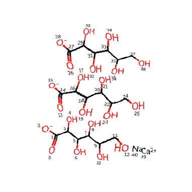 O=C([O-])C(O)C(O)C(O)C(O)CO.O=C([O-])C(O)C(O)C(O)C(O)CO.O=C([O-])C(O)C(O)C(O)C(O)CO.[Ca+2].[Na+]